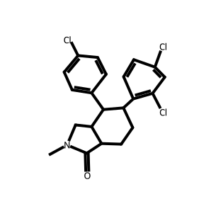 CN1CC2C(CCC(c3ccc(Cl)cc3Cl)C2c2ccc(Cl)cc2)C1=O